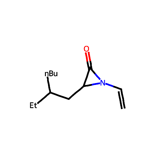 C=CN1C(=O)C1CC(CC)CCCC